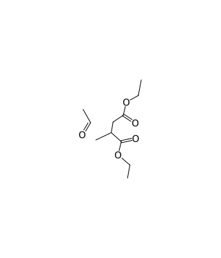 CC=O.CCOC(=O)CC(C)C(=O)OCC